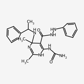 CC1=NC(C)(NC(C)c2ccccc2)C(C(=O)NNc2ccccc2)=C(NC(N)=O)N1